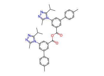 Cc1ccc(-c2cc(C(=O)OC(=O)c3cc(-c4ccc(C)cc4)cc(-n4c(C)nnc4C(C)C)c3)cc(-n3c(C)nnc3C(C)C)c2)cc1